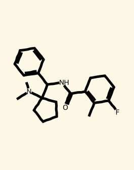 CC1=C(C(=O)NC(c2ccccc2)C2(N(C)C)CCCC2)CCC=C1F